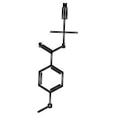 COc1ccc(C(=S)SC(C)(C)C#N)cc1